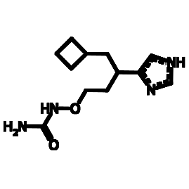 NC(=O)NOCCC(CC1CCC1)c1c[nH]cn1